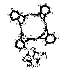 O=[C](O)[Co]([C](=O)O)([C](=O)O)[C](=O)Oc1cccc2c3nc4nc(nc5[nH]c(nc6nc(nc([nH]3)c12)-c1ccccc1-6)c1ccccc51)-c1ccccc1-4